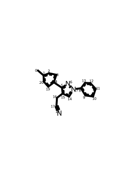 Cc1ccc(-c2nn(-c3ccccc3)cc2CC#N)cc1